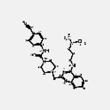 CN(C)CCCNc1nc(CN2CCN(C(=O)Nc3ccc(C#N)cc3)CC2)nc2ccccc12